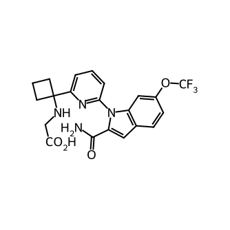 NC(=O)c1cc2ccc(OC(F)(F)F)cc2n1-c1cccc(C2(NCC(=O)O)CCC2)n1